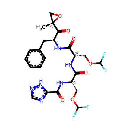 C[C@@]1(C(=O)[C@H](Cc2ccccc2)NC(=O)[C@H](COC(F)F)NC(=O)[C@H](COC(F)F)NC(=O)c2ncn[nH]2)CO1